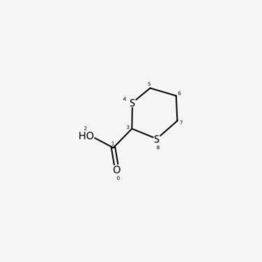 O=C(O)C1SCCCS1